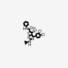 Nc1c(C(=O)Nc2ccccc2)sc2nc(NC3CC3)nc(-c3ccc(Cl)c(Cl)c3)c12